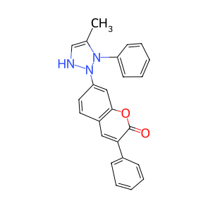 CC1=CNN(c2ccc3cc(-c4ccccc4)c(=O)oc3c2)N1c1ccccc1